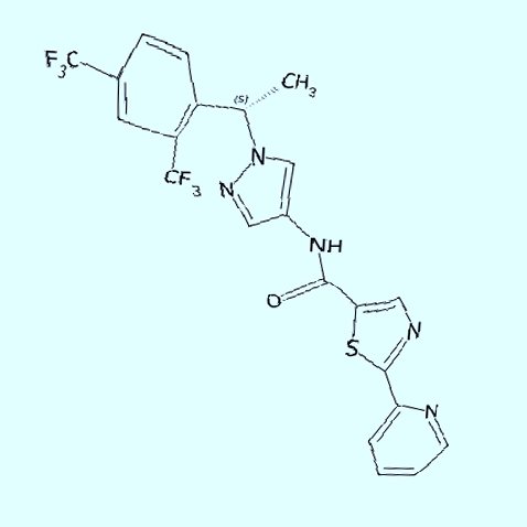 C[C@@H](c1ccc(C(F)(F)F)cc1C(F)(F)F)n1cc(NC(=O)c2cnc(-c3ccccn3)s2)cn1